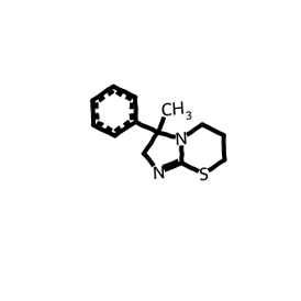 CC1(c2ccccc2)CN=C2SCCCN21